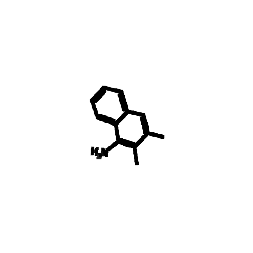 Cc1cc2ccccc2c(N)c1C